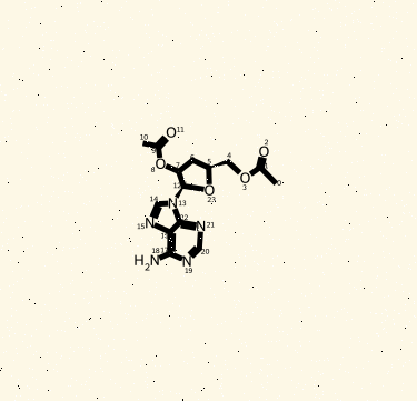 CC(=O)OC[C@@H]1CC(OC(C)=O)[C@H](n2cnc3c(N)ncnc32)O1